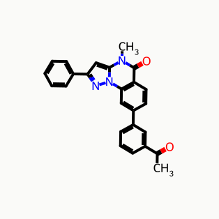 CC(=O)c1cccc(-c2ccc3c(=O)n(C)c4cc(-c5ccccc5)nn4c3c2)c1